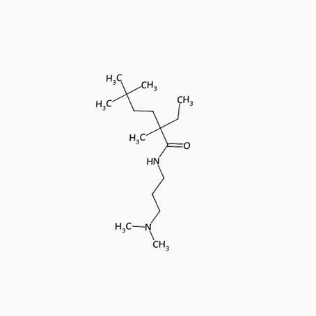 CCC(C)(CCC(C)(C)C)C(=O)NCCCN(C)C